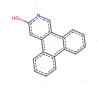 Oc1cc2c3ccccc3c3ccccc3c2cn1